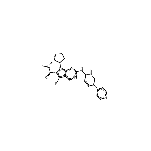 CN(C)C(=O)c1c(F)c2cnc(NC3C=CC(c4ccncc4)CN3)nc2n1C1CCCC1